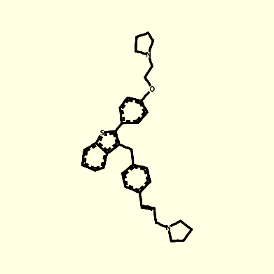 C(=Cc1ccc(Cc2c(-c3ccc(OCCN4CCCC4)cc3)sc3ccccc23)cc1)CN1CCCC1